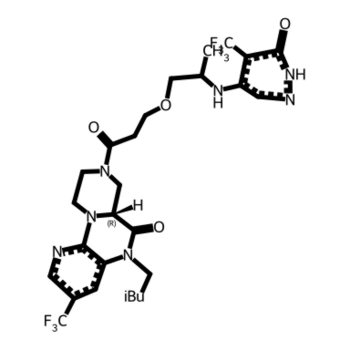 CCC(C)CN1C(=O)[C@H]2CN(C(=O)CCOCC(C)Nc3cn[nH]c(=O)c3C(F)(F)F)CCN2c2ncc(C(F)(F)F)cc21